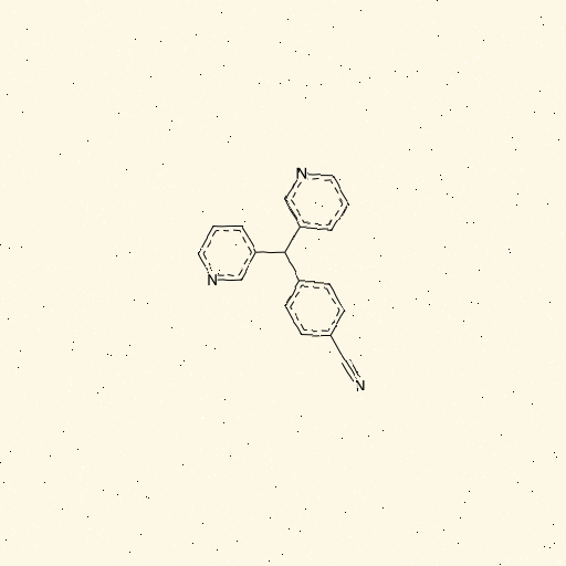 N#Cc1ccc(C(c2cccnc2)c2cccnc2)cc1